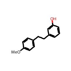 COc1ccc(CCc2cccc(O)c2)cc1